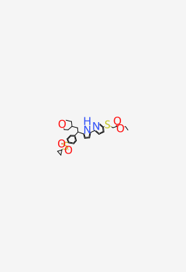 CCOC(=O)CSc1ccc(-c2ccc(C(CC3CCOCC3)c3ccc(S(=O)(=O)C4CC4)cc3)[nH]2)nc1